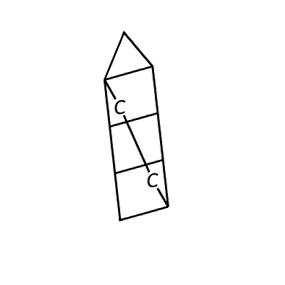 C1CC23CC2C2C4C1CC4C23